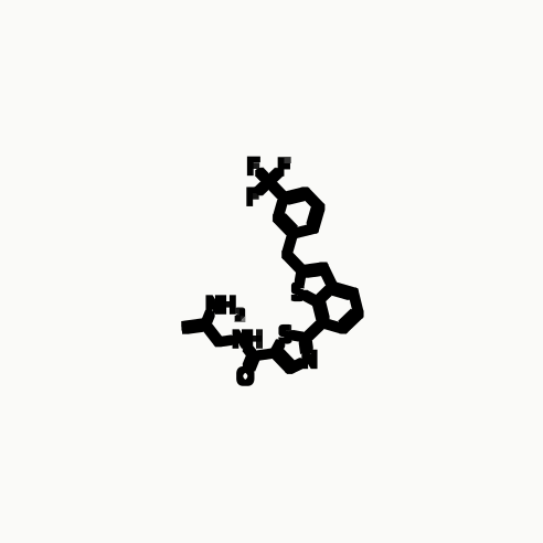 C=C(N)CNC(=O)c1cnc(-c2cccc3cc(Cc4cccc(C(F)(F)F)c4)sc23)s1